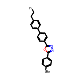 CC(C)CCc1ccc(-c2ccc(-c3nnc(-c4ccc(C(C)(C)C)cc4)o3)cc2)cc1